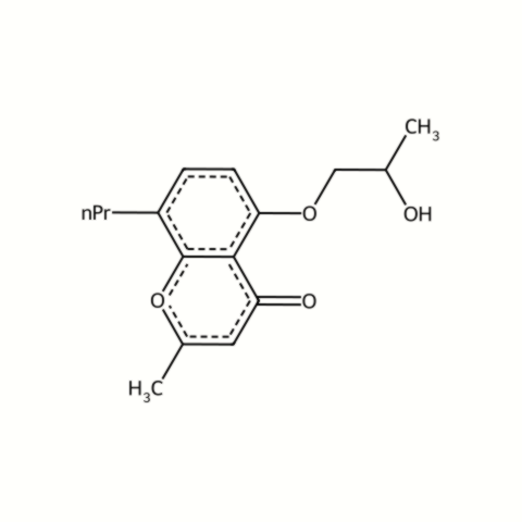 CCCc1ccc(OCC(C)O)c2c(=O)cc(C)oc12